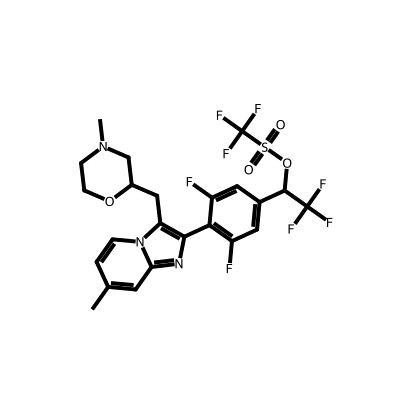 Cc1ccn2c(CC3CN(C)CCO3)c(-c3c(F)cc(C(OS(=O)(=O)C(F)(F)F)C(F)(F)F)cc3F)nc2c1